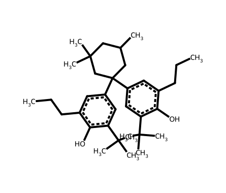 CCCc1cc(C2(c3cc(CCC)c(O)c(C(C)(C)C)c3)CC(C)CC(C)(C)C2)cc(C(C)(C)C)c1O